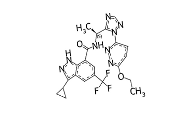 CCOc1ccc(-n2ncnc2[C@H](C)NC(=O)c2cc(C(F)(F)F)cc3c(C4CC4)n[nH]c23)nn1